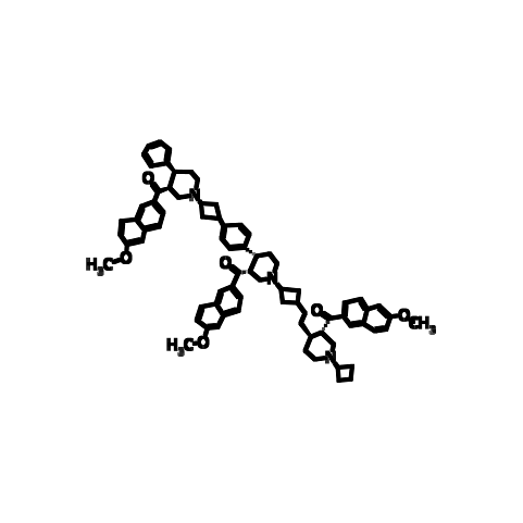 COc1ccc2cc(C(=O)[C@H]3CN(C4CC(CC[C@@H]5CCN(C6CCC6)C[C@H]5C(=O)c5ccc6cc(OC)ccc6c5)C4)CC[C@H]3c3ccc(C4CC(N5CC[C@H](c6ccccc6)[C@H](C(=O)c6ccc7cc(OC)ccc7c6)C5)C4)cc3)ccc2c1